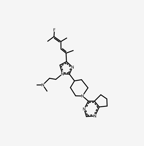 C/C(=C\C(C)=C(/C)F)c1cn(CCN(C)C)c(C2CCN(c3ncnc4c3CCC4)CC2)n1